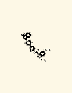 COc1ccc(OC)c(NC(=O)Oc2ccc(N3CCN(C(=O)c4ccccc4C(F)(F)F)CC3)nn2)c1